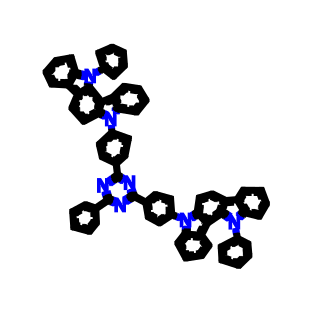 c1ccc(-c2nc(-c3ccc(-n4c5ccccc5c5c4ccc4c6ccccc6n(-c6ccccc6)c45)cc3)nc(-c3ccc(-n4c5ccccc5c5c4ccc4c6ccccc6n(-c6ccccc6)c45)cc3)n2)cc1